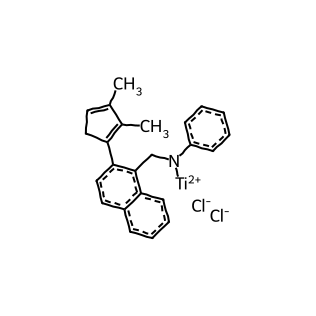 CC1=CCC(c2ccc3ccccc3c2C[N]([Ti+2])c2ccccc2)=C1C.[Cl-].[Cl-]